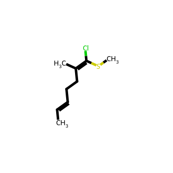 CC=CCC/C(C)=C(/Cl)SC